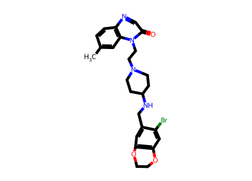 Cc1ccc2ncc(=O)n(CCN3CCC(NCc4cc5c(cc4Br)OCCO5)CC3)c2c1